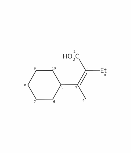 CCC(C(=O)O)=C(C)C1CCCCC1